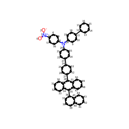 O=[N+]([O-])c1ccc(N(c2ccc(-c3ccccc3)cc2)c2ccc(-c3ccc(-c4c5ccccc5c(-c5cccc6ccccc56)c5ccccc45)cc3)cc2)cc1